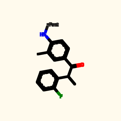 CCCCCNc1ccc(C(=O)C(C)c2ccccc2F)cc1C